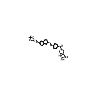 CC1(C)OC[C@@H](COc2ccc3cc(COc4ccc(C(=O)N5CCC6(CC5)CNC(=N)N6)cc4)ccc3c2)O1